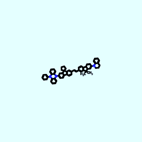 CC1(C)c2cc(/C=C/c3ccc4c(c3)C3(CCCC3)c3cc(N5c6ccccc6N(c6ccccc6)c6ccccc65)ccc3-4)ccc2C2C=CC(N3CCCc4ccccc43)=CC21